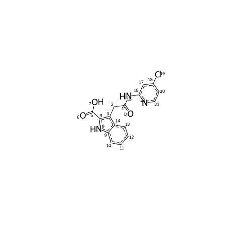 O=C(Cc1c(C(=O)O)[nH]c2ccccc12)Nc1cc(Cl)ccn1